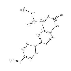 C=Cc1ccc(-c2ccc3oc(=O)cc(C(=O)OC)c3c2)cc1